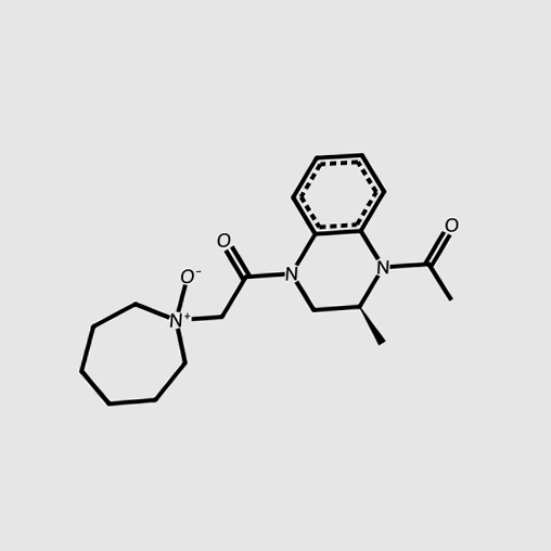 CC(=O)N1c2ccccc2N(C(=O)C[N+]2([O-])CCCCCC2)C[C@@H]1C